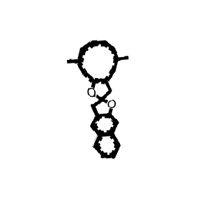 Cc1ccccc(C)cc2c(c1)CC1(Cc3cc4ccccc4cc3O1)O2